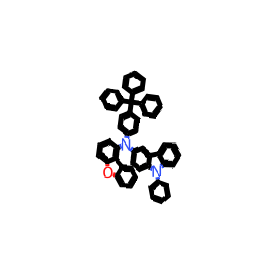 c1ccc(-n2c3ccccc3c3cc(N(c4ccc(C(c5ccccc5)(c5ccccc5)c5ccccc5)cc4)c4cccc5oc6ccccc6c45)ccc32)cc1